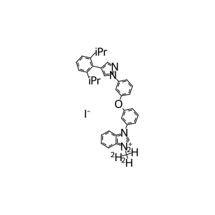 [2H]C([2H])([2H])[n+]1cn(-c2cccc(Oc3cccc(-n4cc(-c5c(C(C)C)cccc5C(C)C)cn4)c3)c2)c2ccccc21.[I-]